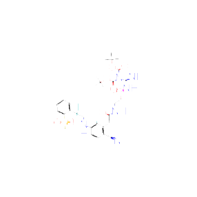 CC(C)(C)OC(=O)N(C(=N)NOCCNC(=O)Cc1c(C#N)ccc(NCC(F)(F)c2ccccc2S(C)(=O)=O)c1F)C(=O)OC(C)(C)C